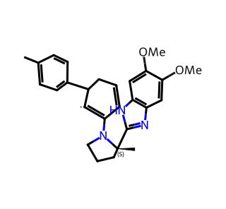 COc1cc2nc([C@]3(C)CCCN3C3=[C]C(c4ccc(C)cc4)CC=C3)[nH]c2cc1OC